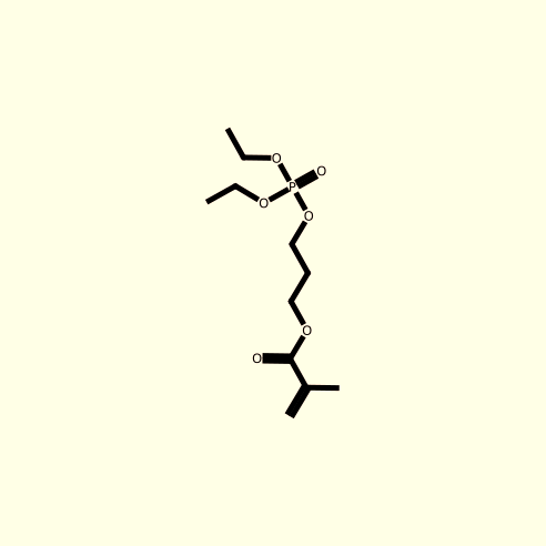 C=C(C)C(=O)OCCCOP(=O)(OCC)OCC